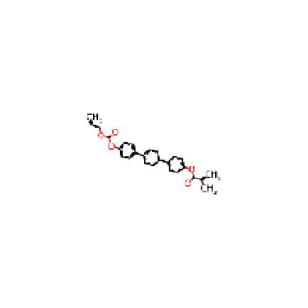 C=CCOC(=O)Oc1ccc(-c2ccc(-c3ccc(OC(=O)C(=C)C)cc3)cc2)cc1